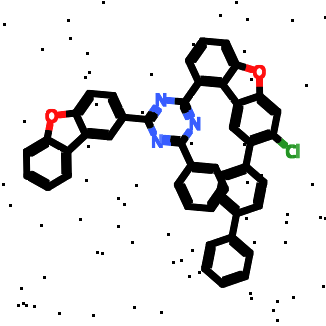 Clc1cc2oc3cccc(-c4nc(-c5ccccc5)nc(-c5ccc6oc7ccccc7c6c5)n4)c3c2cc1-c1ccc(-c2ccccc2)cc1